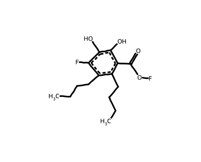 CCCCc1c(F)c(O)c(O)c(C(=O)OF)c1CCCC